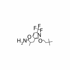 CC(Cc1ccc(C(F)(F)F)nc1OCCC(C)(C)C)C(N)=O